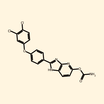 NC(=O)Oc1ccc2[nH]c(-c3ccc(Oc4ccc(Cl)c(Cl)c4)cc3)nc2n1